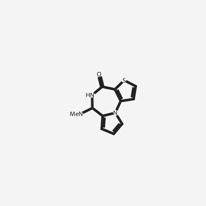 CNC1NC(=O)c2sccc2-n2cccc21